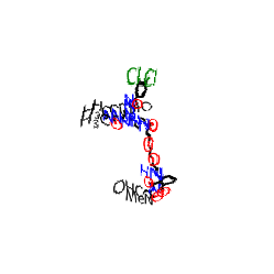 CNC(=O)C(CCC=O)N1C(=O)c2cccc(NCCOCCOCCC(=O)N3CCN(c4nc(N(C)C(=O)N(C)C)c(C=O)n4Cc4nnc(-c5ccc(Cl)c(Cl)c5)o4)CC3)c2C1=O